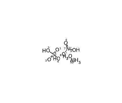 O.O=S(=O)(O)O.O=[N+]([O-])O.[AlH3]